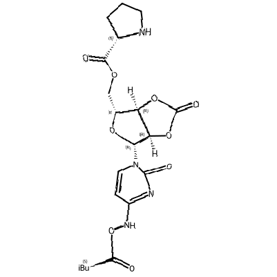 CC[C@H](C)C(=O)ONc1ccn([C@@H]2O[C@H](COC(=O)[C@@H]3CCCN3)[C@H]3OC(=O)O[C@H]32)c(=O)n1